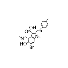 Cc1ccc(SCc2c(C(=O)O)c3c(CN(C)C)c(O)c(Br)cc3n2C)cc1